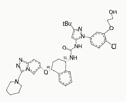 CC(C)(C)c1cc(NC(=O)N[C@H]2CC[C@@H](Oc3ccc4nnc(N5CCCCC5)n4c3)c3ccccc32)n(-c2ccc(Cl)c(OCCO)c2)n1